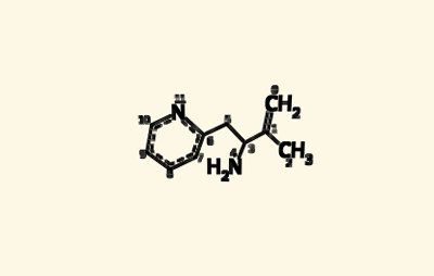 C=C(C)C(N)Cc1ccccn1